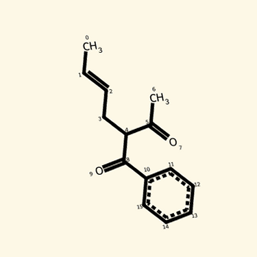 CC=CCC(C(C)=O)C(=O)c1ccccc1